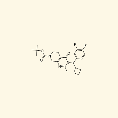 Cc1nc2c(c(=O)n1C(c1ccc(F)c(F)c1)C1CCC1)CCN(C(=O)OC(C)(C)C)C2